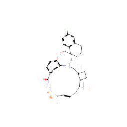 C[C@@H]1/C=C/C[C@H](O)[C@@H]2CC[C@H]2CN2C[C@@]3(CCCc4cc(Cl)ccc43)COc3ccc(cc32)C(=O)NS1(=O)=O